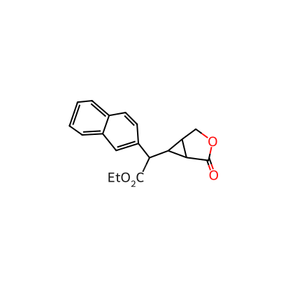 CCOC(=O)C(c1ccc2ccccc2c1)C1C2COC(=O)C21